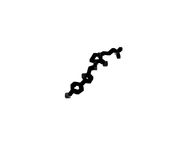 CN(C)CCCN1CCN(/N=C/c2ccc(-c3ccc(Cl)cc3)o2)C1=O